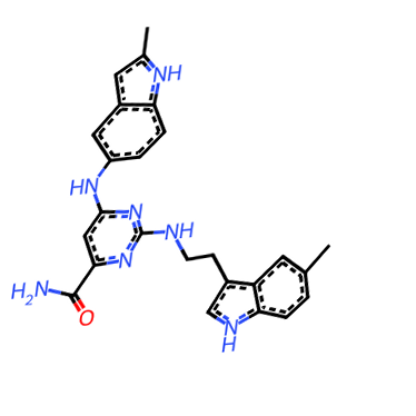 Cc1ccc2[nH]cc(CCNc3nc(Nc4ccc5[nH]c(C)cc5c4)cc(C(N)=O)n3)c2c1